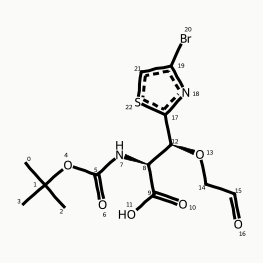 CC(C)(C)OC(=O)N[C@H](C(=O)O)[C@H](OCC=O)c1nc(Br)cs1